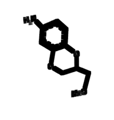 COCC1COc2cc(N)ccc2O1